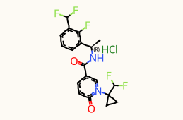 C[C@@H](NC(=O)c1ccc(=O)n(C2(C(F)F)CC2)c1)c1cccc(C(F)F)c1F.Cl